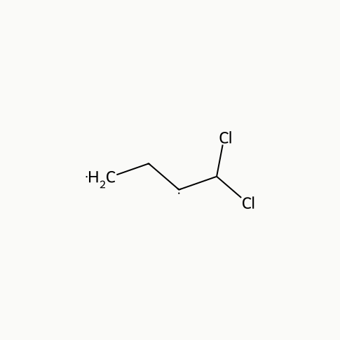 [CH2]C[CH]C(Cl)Cl